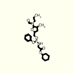 CCCN(C=O)C1OC(COP(NCC(=O)OC2CCCCC2)Oc2ccccc2)CC1C